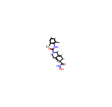 CCc1cccc(C)c1NC(=O)N1CCC2=CC(C(=O)NO)CC=C2C1